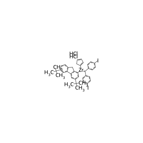 CC(C)(C)c1ccc2c(c1)-c1cc(C(C)(C)C)c[c]([Zr]([C]3=CC=CC3)=[C](c3ccc(I)cc3)c3ccc(I)cc3)c1C2.Cl.Cl